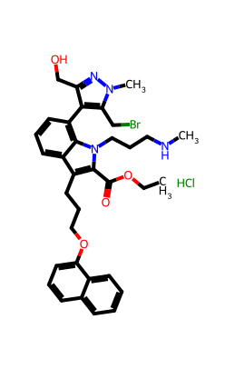 CCOC(=O)c1c(CCCOc2cccc3ccccc23)c2cccc(-c3c(CO)nn(C)c3CBr)c2n1CCCNC.Cl